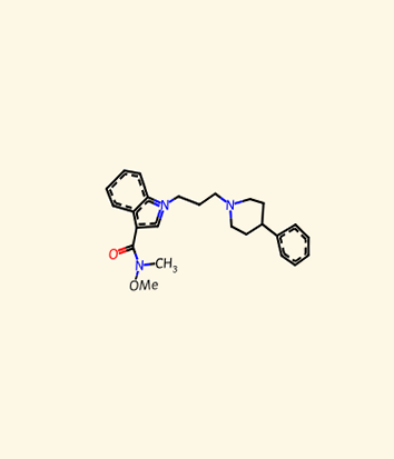 CON(C)C(=O)c1cn(CCCN2CCC(c3ccccc3)CC2)c2ccccc12